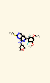 COc1cc(OC)c(F)c(-c2cc3cnc(SC)nc3c(NC3CCOCC3)n2)c1F